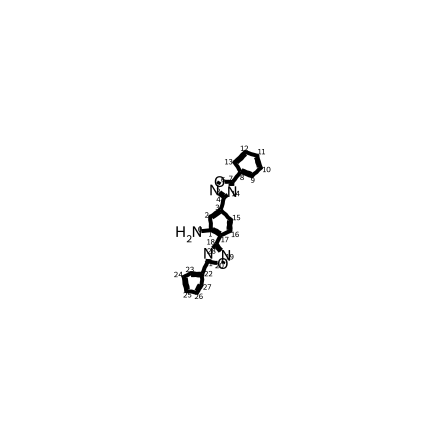 Nc1cc(-c2noc(-c3ccccc3)n2)ccc1-c1noc(-c2ccccc2)n1